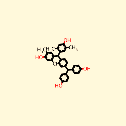 Cc1cc(C(c2ccc(C(c3ccc(O)cc3)c3ccc(O)cc3)cc2)c2cc(C)c(O)cc2C)c(C)cc1O